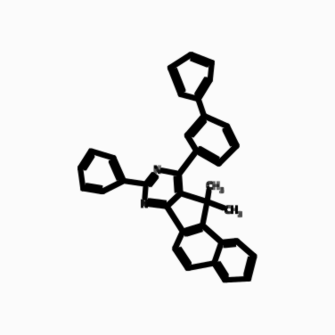 CC1(C)c2c(-c3cccc(-c4ccccc4)c3)nc(-c3ccccc3)nc2-c2ccc3ccccc3c21